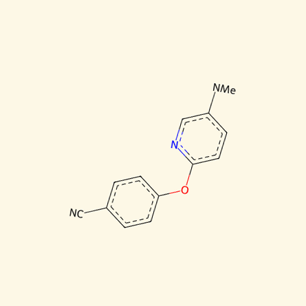 CNc1ccc(Oc2ccc(C#N)cc2)nc1